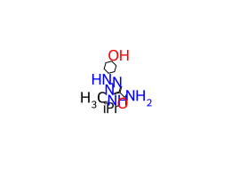 CC(C)C(C)Nc1nc(NC2CCC(O)CC2)ncc1C(N)=O